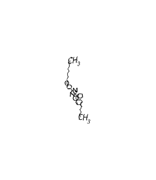 CCCCCCCCCOc1ccc(-c2cnc(C(=O)Oc3ccc(CCCCC)cc3)cn2)cc1